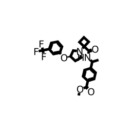 COC(=O)c1ccc(C(C)NC(=O)C2(N3CC[C@@H](Oc4cccc(C(F)(F)F)c4)C3)CCC2)cc1